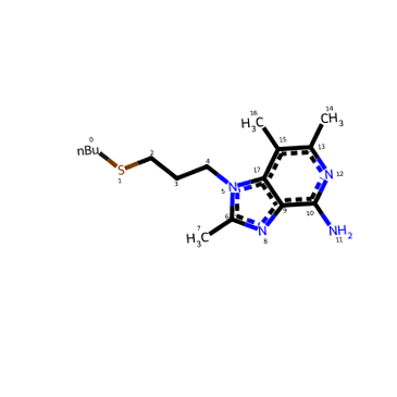 CCCCSCCCn1c(C)nc2c(N)nc(C)c(C)c21